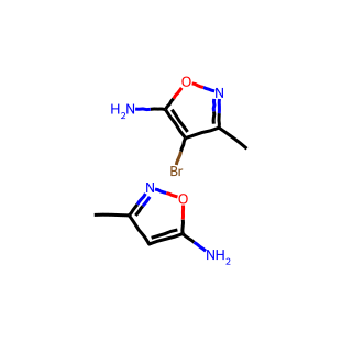 Cc1cc(N)on1.Cc1noc(N)c1Br